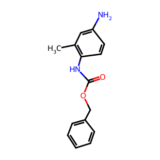 Cc1cc(N)ccc1NC(=O)OCc1ccccc1